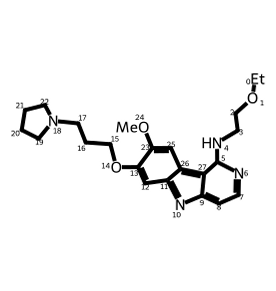 CCOCCNC1N=CC=C2N=c3cc(OCCCN4CCCC4)c(OC)cc3=C21